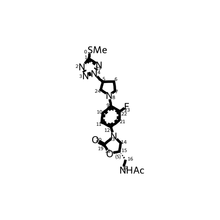 CSc1nnn(C2CCN(c3ccc(N4C[C@H](CNC(C)=O)OC4=O)cc3F)C2)n1